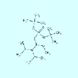 COP(CP(=O)(OC(C)(C)C)OC(C)(C)C)N(C(C)C)C(C)C